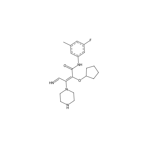 Cc1cc(F)cc(NC(=O)/C(OC2CCCC2)=C(\C=N)N2CCNCC2)c1